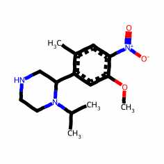 COc1cc(C2CNCCN2C(C)C)c(C)cc1[N+](=O)[O-]